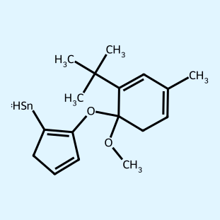 COC1(OC2=[C]([SnH])CC=C2)CC=C(C)C=C1C(C)(C)C